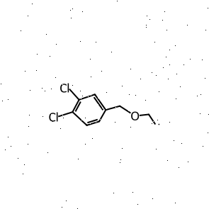 [CH2]COCc1ccc(Cl)c(Cl)c1